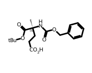 CC(C)(C)OC(=O)[C@](C)(CCC(=O)O)NC(=O)OCc1ccccc1